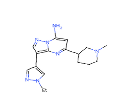 CCn1cc(-c2cnn3c(N)cc(C4CCCN(C)C4)nc23)cn1